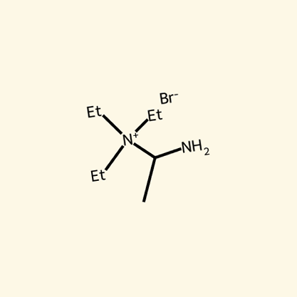 CC[N+](CC)(CC)C(C)N.[Br-]